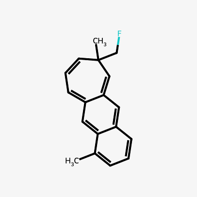 Cc1cccc2cc3c(cc12)=CC=CC(C)(CF)C=3